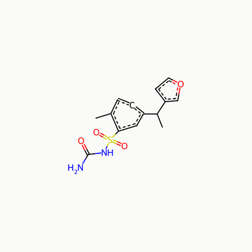 Cc1ccc(C(C)c2ccoc2)cc1S(=O)(=O)NC(N)=O